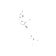 CCCCN(CC(=O)NCCCC#Cc1cnc(Nc2ccc(C#N)cc2)nc1NCCC)C(=O)OC(C)(C)C